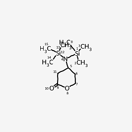 C[Si](C)(C)N(C1CCOC(=O)C1)[Si](C)(C)C